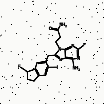 NC(=O)CCn1c(Cc2cc3c(cc2I)CCC3F)nc2c(N)nc(F)nc21